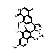 CCOc1cc(-c2cnn(C)c2-c2c(F)c(C)c3cc(C)cnc3c2C#N)cc2c(CC)n[nH]c(=O)c12